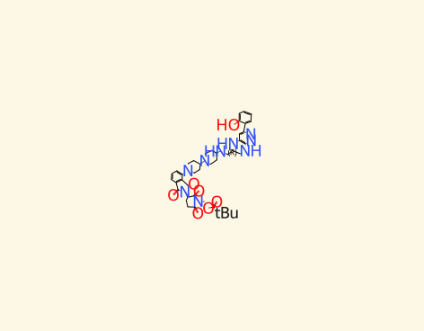 CC(C)(C)C(=O)OCN1C(=O)CCC(N2C(=O)c3cccc(N4CCC(N5CCC(NC[C@@H]6CNc7nnc(-c8ccccc8O)cc7N6)CC5)CC4)c3C2=O)C1=O